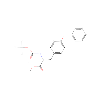 COC(=O)[C@H](Cc1ccc(Oc2ccccc2)cc1)NC(=O)OC(C)(C)C